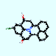 O=c1cc2c3cccc4cccc(c43)c3cc(=O)c4cc(Cl)cc1c4n23